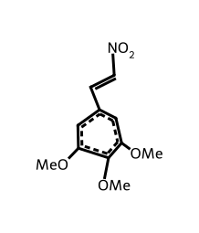 COc1cc(C=C[N+](=O)[O-])cc(OC)c1OC